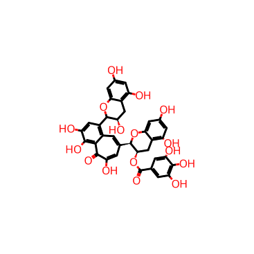 O=C(O[C@@H]1Cc2c(O)cc(O)cc2O[C@@H]1c1cc(O)c(=O)c2c(O)c(O)cc(C3Oc4cc(O)cc(O)c4C[C@H]3O)c2c1)c1cc(O)c(O)c(O)c1